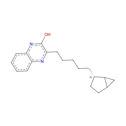 Oc1nc2ccccc2nc1CCCCC[C@H]1CCC2CC21